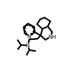 CC(C)N(CCC1(c2ccccn2)CNCC2CCCCC21)C(C)C